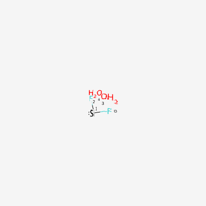 F[Si]F.O.O